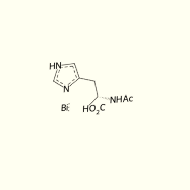 CC(=O)N[C@@H](Cc1c[nH]cn1)C(=O)O.[Bi]